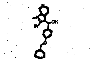 CC(C)c1c(C(O)c2ccc(OCc3ccccc3)cc2)c2ccncc2n1C